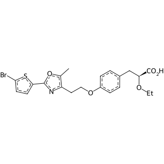 CCO[C@@H](Cc1ccc(OCCc2nc(-c3ccc(Br)s3)oc2C)cc1)C(=O)O